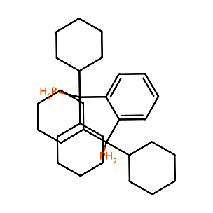 PC(c1ccccc1C(P)(C1CCCCC1)C1CCCCC1)(C1CCCCC1)C1CCCCC1